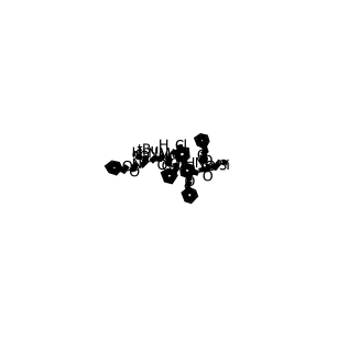 CN[C@@H](C[C@H](CNC(=O)OCc1ccccc1)O[Si](C)(C)C(C)(C)C)C(=O)N[C@@H](Cc1cc(-c2ccc(OCc3ccccc3)c(C[C@H](NC(=O)OCc3ccccc3)C(=O)OCC[Si](C)(C)C)c2)ccc1Cl)C(=O)OCc1ccccc1